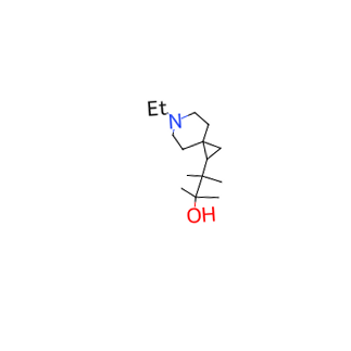 CCN1CCC2(CC1)CC2C(C)(C)C(C)(C)O